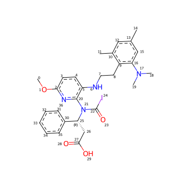 COc1ccc(NCCc2c(C)cc(C)cc2N(C)C)c(N(C(=O)I)[C@H](CC(=O)O)c2ccccc2)n1